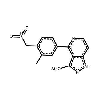 COc1n[nH]c2ccnc(-c3ccc(C[SH](=O)=O)c(C)c3)c12